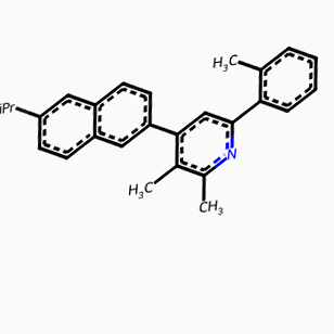 Cc1ccccc1-c1cc(-c2ccc3cc(C(C)C)ccc3c2)c(C)c(C)n1